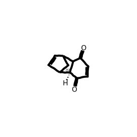 O=C1C=CC(=O)[C@H]2C3C=CC(C3)C12